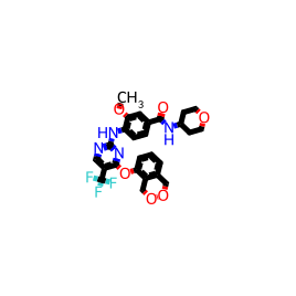 COc1cc(C(=O)NC2CCOCC2)ccc1Nc1ncc(C(F)(F)F)c(Oc2cccc3c2COOC3)n1